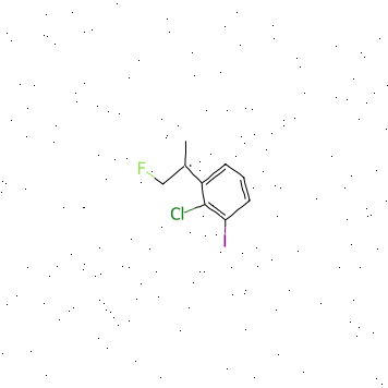 C[C](CF)c1cccc(I)c1Cl